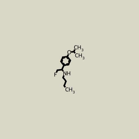 CCCCNC(CF)c1ccc(OC(C)C)cc1